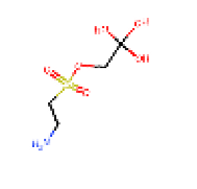 NCCS(=O)(=O)OCC(O)(O)O